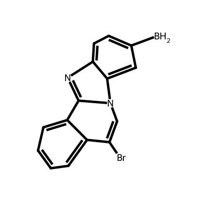 Bc1ccc2nc3c4ccccc4c(Br)cn3c2c1